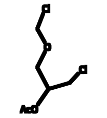 CC(=O)OC(CCl)COCCl